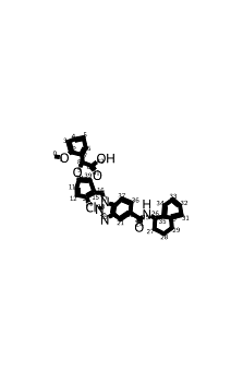 COc1ccccc1C(Oc1ccc(Cl)c(Cn2nnc3cc(C(=O)NC4CCCc5ccccc54)ccc32)c1)C(=O)O